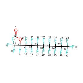 O=COC(F)(C(F)(F)F)C(F)(F)C(F)(F)C(F)(F)C(F)(F)C(F)(F)C(F)(F)C(F)(F)C(F)(F)F